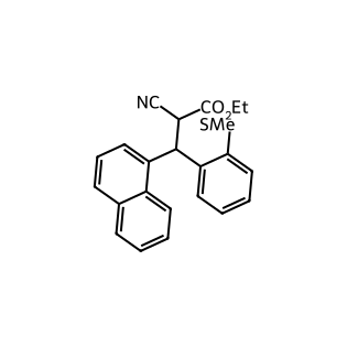 CCOC(=O)C(C#N)C(c1ccccc1SC)c1cccc2ccccc12